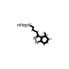 CCCCCCCCCCC1=N[N]c2cccc(C)c21